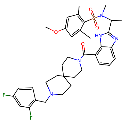 COc1cc(C)c(S(=O)(=O)N(C)C(C)c2nc3cccc(C(=O)N4CCC5(CCN(Cc6ccc(F)cc6F)CC5)CC4)c3[nH]2)c(C)c1